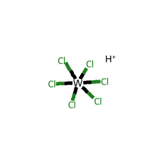 [Cl][W]([Cl])([Cl])([Cl])([Cl])[Cl].[H+]